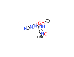 CCCCC(=O)N1CCC(C[C@H](NC(=O)OCc2ccccc2)C(=O)N2CCN(c3ccncc3)CC2)CC1